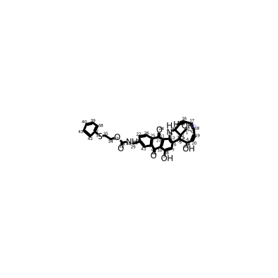 C[C@@H](O)[C@@]12C[C@]13c1cc(O)c4c(c1N[C@H]2C#C/C=C\C#C[C@H]3O)C(=O)c1ccc(CNC(=O)OCCSc2ccccc2)cc1C4=O